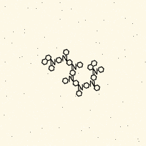 c1ccc(N(c2ccc(N(c3ccccc3)c3ccc(N(c4ccccc4)c4ccc(N(c5ccccc5)c5cccc6ccccc56)cc4)cc3)cc2)c2ccc(N(c3ccccc3)c3ccc(N(c4ccccc4)c4ccc(N(c5ccccc5)c5cccc6ccccc56)cc4)cc3)cc2)cc1